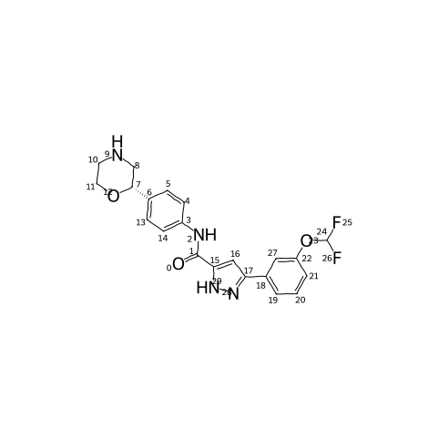 O=C(Nc1ccc([C@H]2CNCCO2)cc1)c1cc(-c2cccc(OC(F)F)c2)n[nH]1